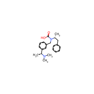 C[C@H](Cc1ccccc1)N(Cc1cccc([C@H](C)N(C)C)c1)C(=O)O